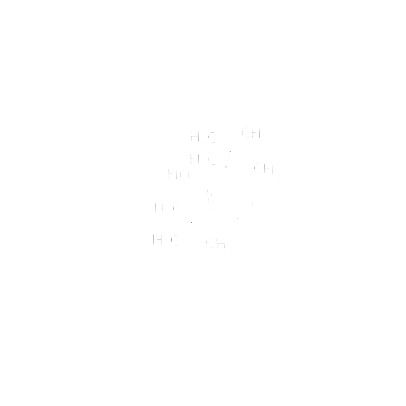 CC(C)(C)C1=C(O)C(C)(C(C)(C)C)CC=C1